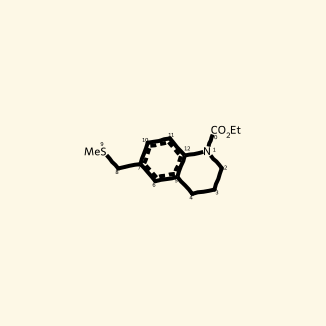 CCOC(=O)N1CCCc2cc(CSC)ccc21